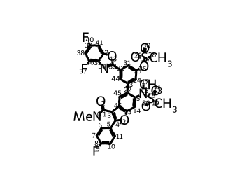 CNC(=O)c1c(-c2ccc(F)cc2)oc2cc(N(C)S(C)(=O)=O)c(-c3cc(OS(C)(=O)=O)cc(-c4nc5c(F)cc(F)cc5o4)c3)cc12